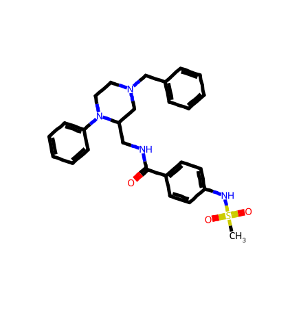 CS(=O)(=O)Nc1ccc(C(=O)NCC2CN(Cc3ccccc3)CCN2c2ccccc2)cc1